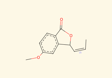 C/C=C\C1OC(=O)c2ccc(OC)cc21